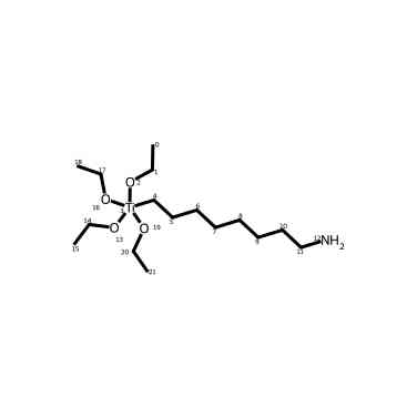 CC[O][Ti]([CH2]CCCCCCCN)([O]CC)([O]CC)[O]CC